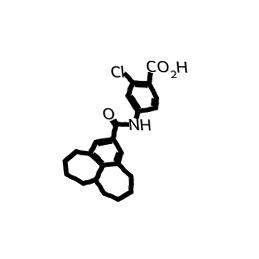 O=C(Nc1ccc(C(=O)O)c(Cl)c1)c1cc2c3c(c1)CCCCC3CCCC2